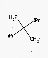 [CH2]C(P)(C(C)C)C(C)C